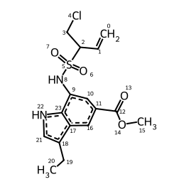 C=CC(CCl)S(=O)(=O)Nc1cc(C(=O)OC)cc2c(CC)c[nH]c12